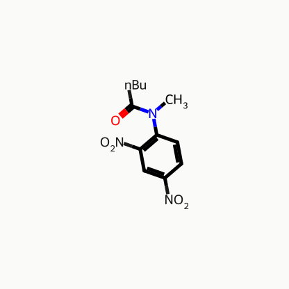 CCCCC(=O)N(C)c1ccc([N+](=O)[O-])cc1[N+](=O)[O-]